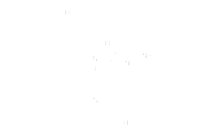 CCCS(=O)(=O)NC(=O)c1ccc2c(C3CCCCC3)c(-c3ccc(OC)cc3C)n(CC(C)(C)C(=O)N3CCNC4(CCCC4)C3)c2c1